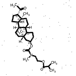 CC(=O)[C@H]1CC[C@H]2[C@@H]3CC[C@H]4C[C@H](OC(=O)N(C)CCOC(=O)C(C)C)CC[C@]4(C)[C@H]3CC[C@]12C